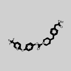 O=C(O)Cc1ccc(CC2CCN(C(=O)Oc3ccc(Oc4ccc(C(F)(F)F)cn4)cc3)CC2)cc1